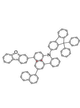 c1ccc(C2(c3ccccc3)c3ccccc3-c3ccc(N(c4ccc(-c5ccc6c(c5)oc5ccccc56)cc4)c4ccccc4-c4cccc(-c5cccc6ccccc56)c4)cc32)cc1